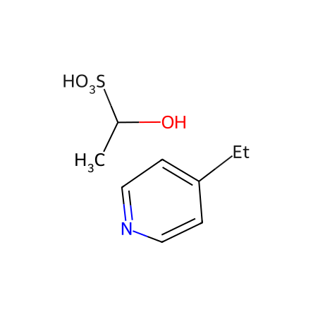 CC(O)S(=O)(=O)O.CCc1ccncc1